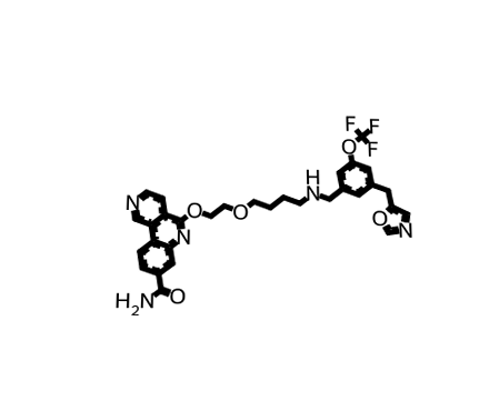 NC(=O)c1ccc2c(c1)nc(OCCOCCCCNCc1cc(Cc3cnco3)cc(OC(F)(F)F)c1)c1ccncc12